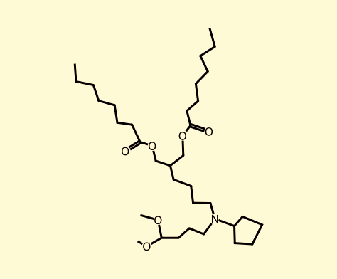 CCCCCCCC(=O)OCC(CCCCN(CCCC(OC)OC)C1CCCC1)COC(=O)CCCCCCC